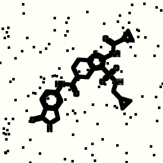 O=C1NCc2cc(NC(=O)C3CCc4sc(NC(=O)C5CC5)c(S(=O)(=O)NCC5CC5)c4C3)ccc21